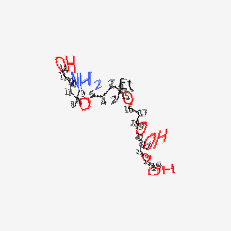 CCC(C)(CCCOC(C)(CN)CCCO)OCCCOCC(O)COCCO